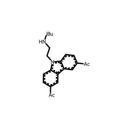 CCC(C)NCCn1c2ccc(C(C)=O)cc2c2cc(C(C)=O)ccc21